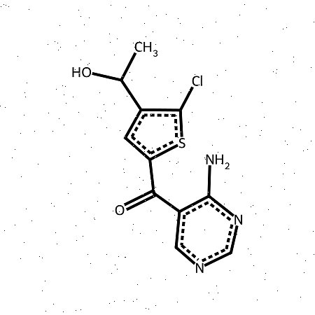 CC(O)c1cc(C(=O)c2cncnc2N)sc1Cl